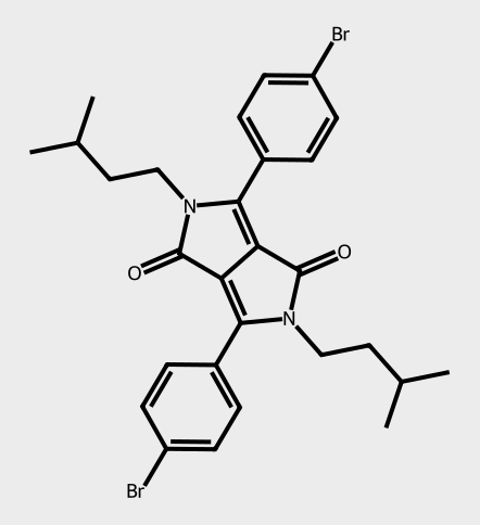 CC(C)CCN1C(=O)C2=C(c3ccc(Br)cc3)N(CCC(C)C)C(=O)C2=C1c1ccc(Br)cc1